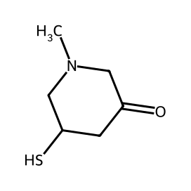 CN1CC(=O)CC(S)C1